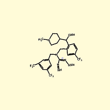 CN/N=C(\N=N)N(Cc1cc(C(F)(F)F)cc(C(F)(F)F)c1)Cc1cc(C(F)(F)F)ccc1C(OC)C1CCN(C)CC1